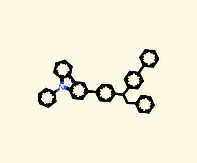 c1ccc(CC(c2ccc(-c3ccccc3)cc2)c2ccc(-c3ccc4c(c3)c3ccccc3n4-c3ccccc3)cc2)cc1